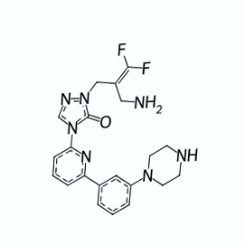 NCC(Cn1ncn(-c2cccc(-c3cccc(N4CCNCC4)c3)n2)c1=O)=C(F)F